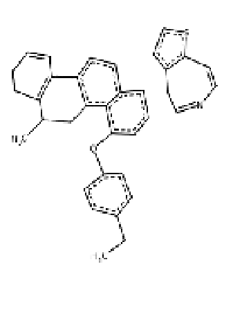 C1=Cc2sccc2CC=N1.CCc1ccc(Oc2cccc3ccc4c(c23)CC(C)C2=C4C=CCC2)cc1